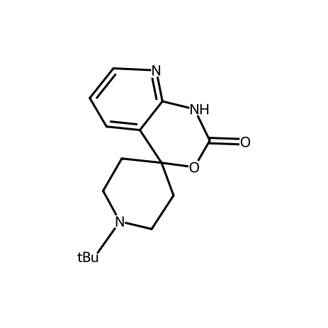 CC(C)(C)N1CCC2(CC1)OC(=O)Nc1ncccc12